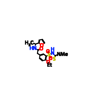 CCOc1ccc(CC(=O)NC(C)c2ccco2)cc1S(=O)(=O)NC(=S)NC